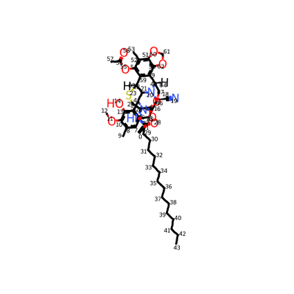 C=CCN1C2c3c(cc(C)c(OC)c3O)CC1[C@H](C#N)N1C2[C@@H]2SCC(NC(=O)CCCCCCCCCCCCCCC)C(=O)OC[C@H]1c1c3c(c(C)c(OC(C)=O)c12)OCO3